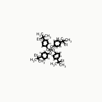 CCC(C)(C)c1ccc(O[Si](Oc2ccc(C(C)(C)CC)cc2)(Oc2ccc(C(C)(C)CC)cc2)Oc2ccc(C(C)(C)CC)cc2)cc1